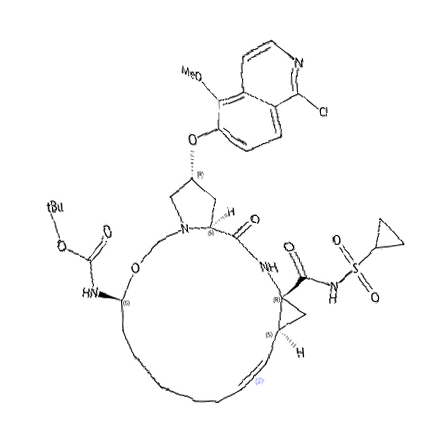 COc1c(O[C@@H]2C[C@H]3C(=O)N[C@]4(C(=O)NS(=O)(=O)C5CC5)C[C@H]4/C=C\CCCCC[C@@H](NC(=O)OC(C)(C)C)OCN3C2)ccc2c(Cl)nccc12